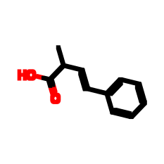 CC(/C=C/c1ccccc1)C(=O)O